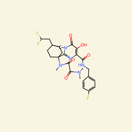 CN(C)C(=O)C(=O)N(C)C12CCC(CC(F)F)(CC1)Cn1c2nc(C(=O)NCc2ccc(F)cc2)c(O)c1=O